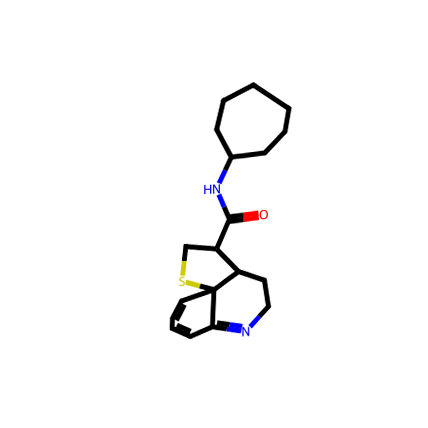 O=C(NC1CCCCCC1)C1CSC23C=CC=CC2=NCCC13